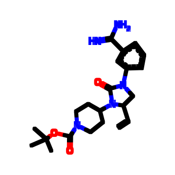 C=CC1CN(c2cccc(C(=N)N)c2)C(=O)N1C1CCN(C(=O)OC(C)(C)C)CC1